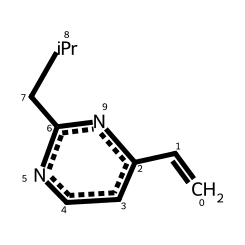 C=Cc1ccnc(CC(C)C)n1